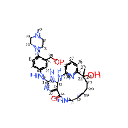 CN1CCN(c2ccc(NC3=NC=C4C(=O)NC/C=C\CCC(C)(O)c5cccc(n5)NC4N3)cc2CO)CC1